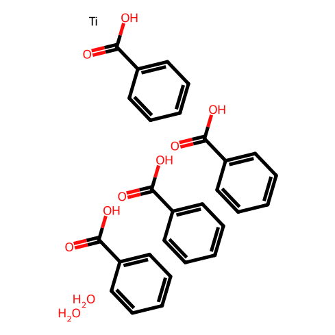 O.O.O=C(O)c1ccccc1.O=C(O)c1ccccc1.O=C(O)c1ccccc1.O=C(O)c1ccccc1.[Ti]